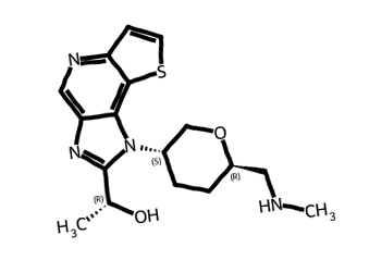 CNC[C@H]1CC[C@H](n2c([C@@H](C)O)nc3cnc4ccsc4c32)CO1